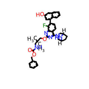 CC(C)(CNC(=O)OCc1ccccc1)COc1nc(N2C[C@H]3CC[C@@H](C2)N3)c2ccc(-c3cc(O)cc4ccccc34)c(F)c2n1